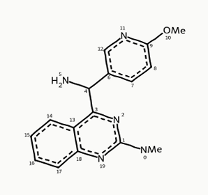 CNc1nc(C(N)c2ccc(OC)nc2)c2ccccc2n1